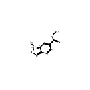 CC(C)OC(=O)c1ccc2no[n+]([O-])c2c1